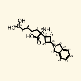 N[C@](CCCCB(O)O)(C(=O)O)C1CC(N2Cc3ccccc3C2)C1